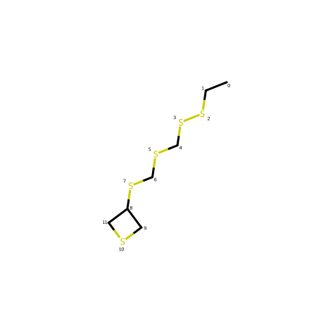 CCSSCSCSC1CSC1